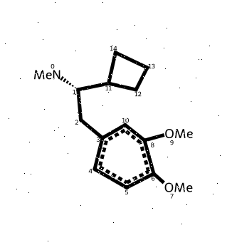 CN[C@@H](Cc1ccc(OC)c(OC)c1)C1CCC1